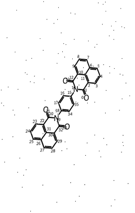 O=C1c2cccc3cccc(c23)C(=O)N1c1ccc(N2C(=O)c3cccc4cccc(c34)C2=O)cc1